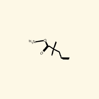 C=CCC(C)(C)C(=O)O[SiH3]